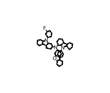 Fc1cccc(-n2c3ccccc3c3ccc(N(c4ccc5c(c4)oc4ccccc45)c4cccc5c6ccccc6n(-c6ccccc6)c45)cc32)c1